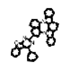 c1ccc(-c2nc(-c3cccc(-n4c5ccccc5c5ccc6c7ccccc7n(-c7ccccc7)c6c54)c3)nc3oc4ccccc4c23)cc1